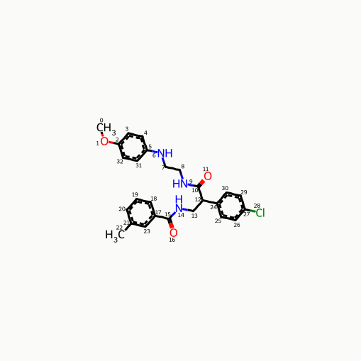 COc1ccc(NCCNC(=O)C(CNC(=O)c2cccc(C)c2)c2ccc(Cl)cc2)cc1